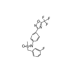 CS(=O)(Cc1cccc(F)c1)=Nc1ccc(-c2noc(C(F)(F)F)n2)cc1